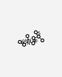 c1ccc(-c2cc(-c3cccc4c3oc3cccc(-c5nc(-c6ccccc6)nc(-c6cccc7c6oc6ccccc67)n5)c34)c3c(c2)sc2ccccc23)cc1